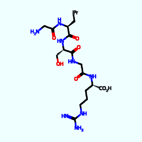 CC(C)C[C@H](NC(=O)CN)C(=O)N[C@@H](CO)C(=O)NCC(=O)N[C@@H](CCCNC(=N)N)C(=O)O